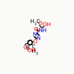 COCC(CO)NC(=O)c1cnc(Oc2ccc3c(c2C)B(O)OC3)cn1